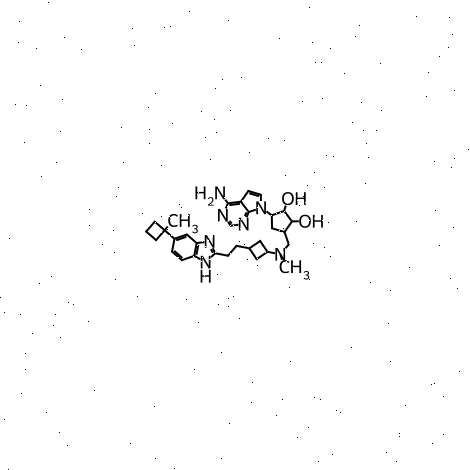 CN(CC1CC(n2ccc3c(N)ncnc32)C(O)C1O)C1CC(CCc2nc3cc(C4(C)CCC4)ccc3[nH]2)C1